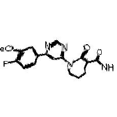 COc1cc(-c2cc(N3CCCC(C(N)=O)C3=O)ncn2)ccc1F